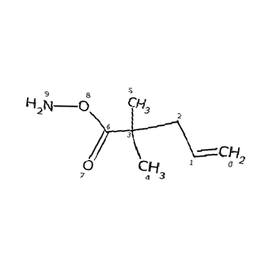 C=CCC(C)(C)C(=O)ON